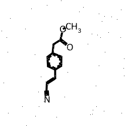 COC(=O)Cc1ccc(/C=C/C#N)cc1